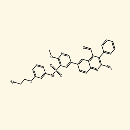 COc1ncc(-c2ccc3nc(N)c(-c4ccccc4)c(C=O)c3c2)cc1S(=O)(=O)Nc1cccc(OCCN)c1